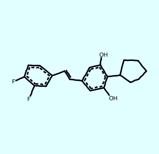 Oc1cc(C=Cc2ccc(F)c(F)c2)cc(O)c1C1CCCCC1